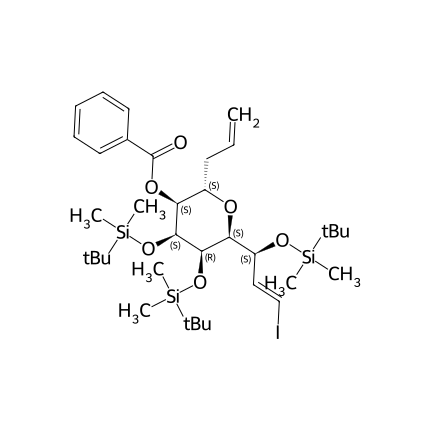 C=CC[C@@H]1O[C@@H]([C@H](C=CI)O[Si](C)(C)C(C)(C)C)[C@@H](O[Si](C)(C)C(C)(C)C)[C@@H](O[Si](C)(C)C(C)(C)C)[C@H]1OC(=O)c1ccccc1